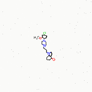 COc1cc(Cl)ccc1N1CCN(CCCn2ccc3c2CCCC3=O)CC1